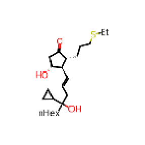 CCCCCCC(O)(CC=C[C@H]1[C@H](O)CC(=O)[C@@H]1CCCSCC)C1CC1